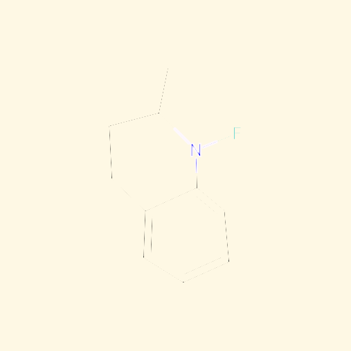 CC1CCc2ccccc2N1F